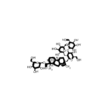 C=C1C[C@@]23CC[C@H]4[C@@](C)(CCC[C@@]4(C)C(=O)O[C@@H]4O[C@H](CO)[C@@H](O)[C@H](O)[C@@H]4O)[C@@H]2CC[C@]1(C[C@@H]1O[C@H](CO)[C@@H](O)[C@H](O[C@@H]2O[C@H](CO)[C@@H](O)[C@H](O)[C@H]2O)[C@H]1C[C@@H]1O[C@H](CO)[C@@H](O)[C@H](O)[C@H]1O)C3